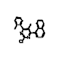 Cc1ccccc1-c1nc(Cl)nc(-c2cccc3ccccc23)c1C